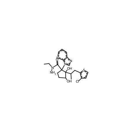 CCN(N)C(=O)C1(n2cnc3cccnc32)CCC(O)C1(O)C(C)Cc1sccc1Cl